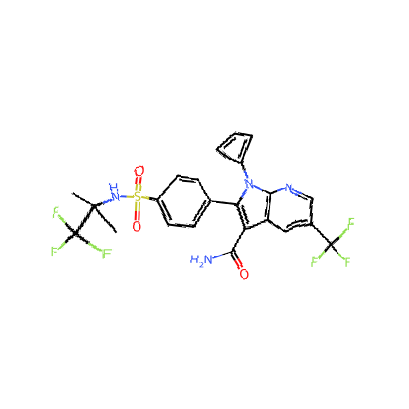 CC(C)(NS(=O)(=O)c1ccc(-c2c(C(N)=O)c3cc(C(F)(F)F)cnc3n2C2=CC=C2)cc1)C(F)(F)F